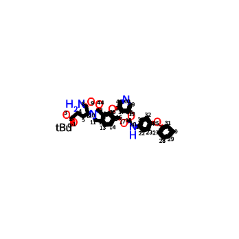 CC(C)(C)OC(=O)CCC(C(N)=O)N1Cc2ccc(COC(=O)Nc3ccc(Oc4ccccc4)cc3)c(Oc3cccnc3)c2C1=O